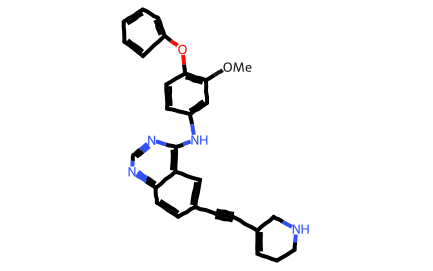 COc1cc(Nc2ncnc3ccc(C#CC4=CCCNC4)cc23)ccc1Oc1ccccc1